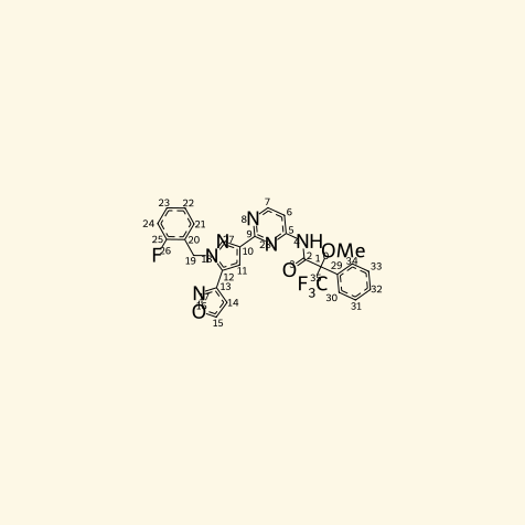 COC(C(=O)Nc1ccnc(-c2cc(-c3ccon3)n(Cc3ccccc3F)n2)n1)(c1ccccc1)C(F)(F)F